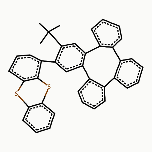 CC(C)(C)c1cc2c(cc1-c1cccc3c1Sc1ccccc1S3)-c1ccccc1-c1ccccc1-c1ccccc1-2